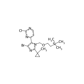 CC1(c2nc(Br)c(-c3ccnc(Cl)n3)n2COCC[Si](C)(C)C)CC1